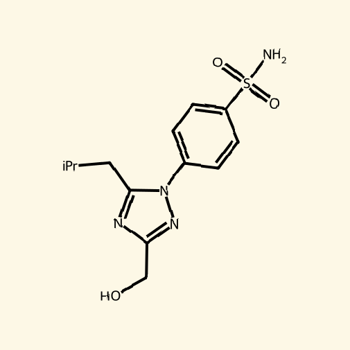 CC(C)Cc1nc(CO)nn1-c1ccc(S(N)(=O)=O)cc1